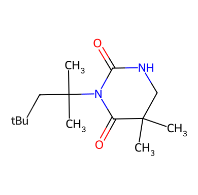 CC(C)(C)CC(C)(C)N1C(=O)NCC(C)(C)C1=O